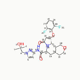 CC(C)(O)Cn1ccc(NC(=O)C(CC2CCOCC2)N2CC(Oc3c(F)cccc3F)=CC2=O)n1